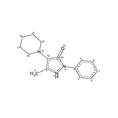 Cc1[nH]n(-c2ccccc2)c(=O)c1N1CCCCC1